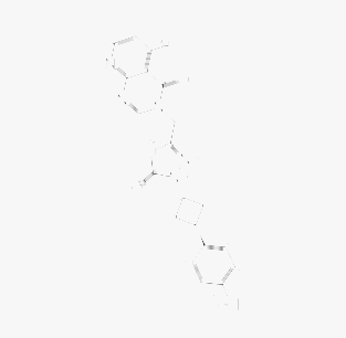 O=c1c2c(Cl)ccnc2ncn1Cc1nn([C@H]2C[C@H](c3ccc(Cl)cc3)C2)c(=O)o1